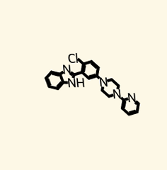 Clc1ccc(N2CCN(c3ccccn3)CC2)cc1-c1nc2ccccc2[nH]1